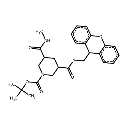 CNC(=O)C1CC(C(=O)NCC2c3ccccc3Oc3ccccc32)CN(C(=O)OC(C)(C)C)C1